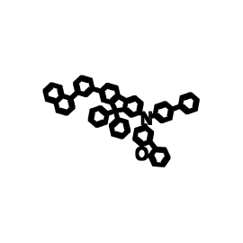 c1ccc(-c2ccc(N(c3ccc4c(c3)C(c3ccccc3)(c3ccccc3)c3cc(-c5cccc(-c6cccc7ccccc67)c5)ccc3-4)c3ccc4oc5ccccc5c4c3)cc2)cc1